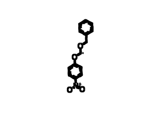 O=[N+]([O-])c1ccc(O[CH]OCc2ccccc2)cc1